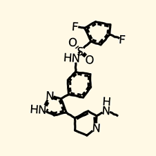 CNC1=NCCC(c2c[nH]nc2-c2cccc(NS(=O)(=O)c3cc(F)ccc3F)c2)=C1